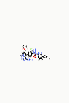 COCc1cn2ncnc(N)c2c1-c1ccc(NC(=O)Nc2cccc(C)c2)c(F)c1